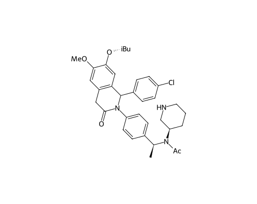 CC[C@@H](C)Oc1cc2c(cc1OC)CC(=O)N(c1ccc([C@H](C)N(C(C)=O)[C@@H]3CCCNC3)cc1)C2c1ccc(Cl)cc1